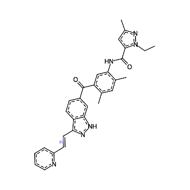 CCn1nc(C)cc1C(=O)Nc1cc(C(=O)c2ccc3c(/C=C/c4ccccn4)n[nH]c3c2)c(C)cc1C